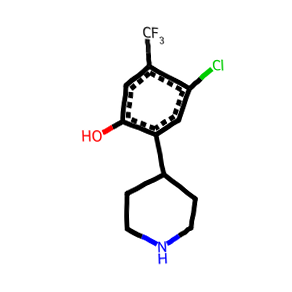 Oc1cc(C(F)(F)F)c(Cl)cc1C1CCNCC1